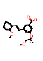 COC[C@H](C)Oc1cc(C=Cc2ccccc2OC)cc(C(=O)O)c1